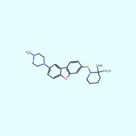 CN1CCN(c2ccc3oc4cc(SN5CCCCC5(C=O)C(=O)O)ccc4c3c2)CC1